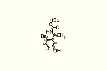 C[C@H](NC(=O)OC(C)(C)C)c1cc(O)ccc1Br